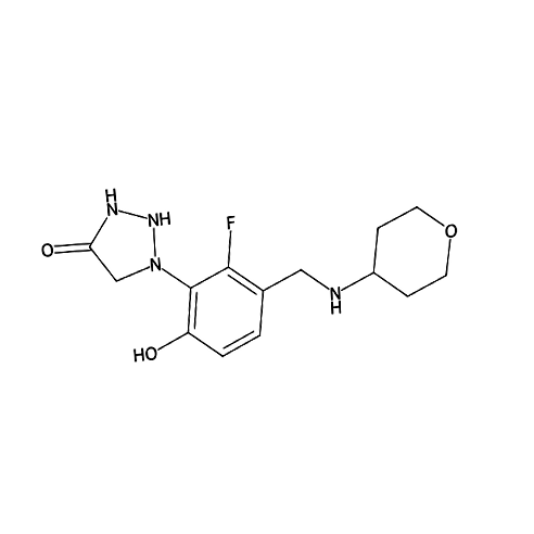 O=C1CN(c2c(O)ccc(CNC3CCOCC3)c2F)NN1